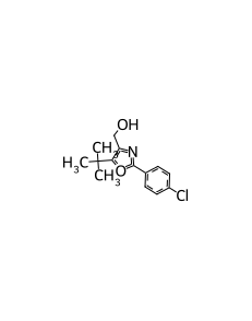 CC(C)(C)c1oc(-c2ccc(Cl)cc2)nc1CO